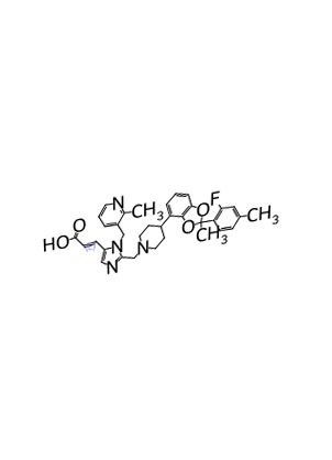 Cc1ccc(C2(C)Oc3cccc(C4CCN(Cc5ncc(/C=C/C(=O)O)n5Cc5cccnc5C)CC4)c3O2)c(F)c1